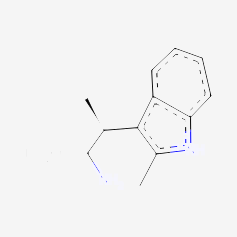 Cc1[nH]c2ccccc2c1[C@H](C)[C@H](N)C(=O)O